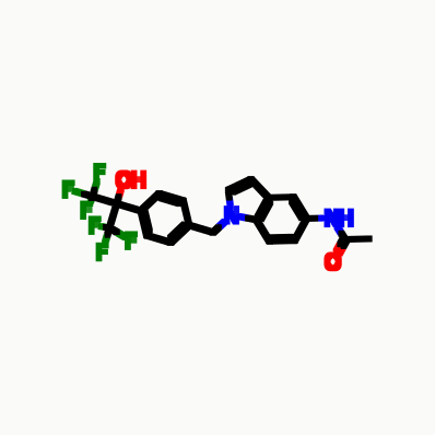 CC(=O)Nc1ccc2c(ccn2Cc2ccc(C(O)(C(F)(F)F)C(F)(F)F)cc2)c1